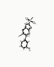 Cc1cc2sc(S(C)(=O)=O)nc2nc1-c1cccc(F)c1